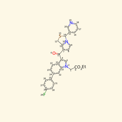 CCOC(=O)Cn1cc(C(=O)c2ccn3c2CSC3c2cccnc2)c2ccc(-c3ccc(F)cc3)cc21